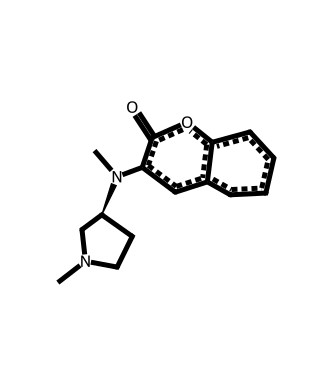 CN1CC[C@H](N(C)c2cc3ccccc3oc2=O)C1